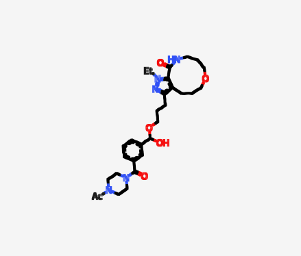 CCn1nc(CCCOC(O)c2cccc(C(=O)N3CCN(C(C)=O)CC3)c2)c2c1C(=O)NCCCOCCC2